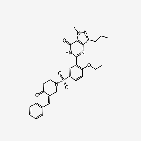 CCCc1nn(C)c2c(=O)[nH]c(-c3cc(S(=O)(=O)N4CCC(=O)/C(=C\c5ccccc5)C4)ccc3OCC)nc12